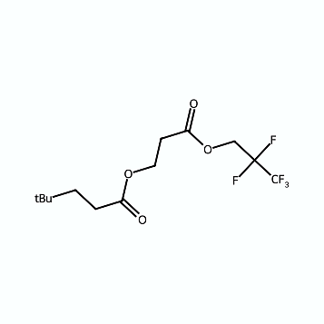 CC(C)(C)CCC(=O)OCCC(=O)OCC(F)(F)C(F)(F)F